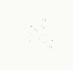 N#Cc1ccc(-c2nc(N)cc(=O)n2-c2ccc(C3CC3)cc2)cc1F